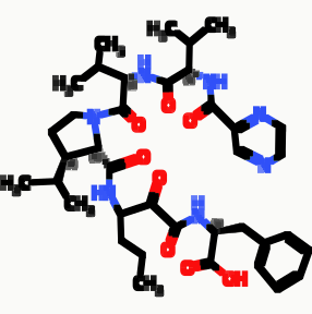 CCCC(NC(=O)[C@@H]1[C@@H](C(C)C)CCN1C(=O)[C@@H](NC(=O)[C@@H](NC(=O)c1cnccn1)C(C)C)C(C)C)C(=O)C(=O)N[C@@H](Cc1ccccc1)C(=O)O